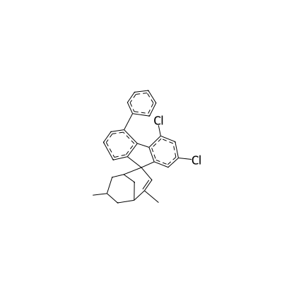 CC1=CC2(c3cc(Cl)cc(Cl)c3-c3c(-c4ccccc4)cccc32)C2CC(C)CC1C2